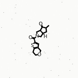 CC1C[C@H]2CN(C(=O)c3cc4c(s3)CCOC4)CC2C1=O